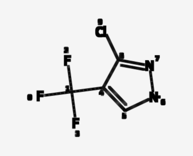 FC(F)(F)C1=C[N]N=C1Cl